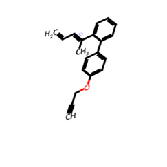 C#CCOc1ccc(-c2ccccc2/C(C)=C/C=C)cc1